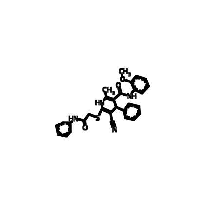 COc1ccccc1NC(=O)C1=C(C)NC(SCC(=O)Nc2ccccc2)=C(C#N)C1c1ccccc1